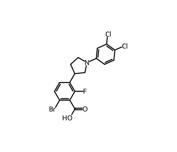 O=C(O)c1c(Br)ccc(C2CCN(c3ccc(Cl)c(Cl)c3)C2)c1F